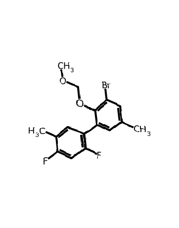 COCOc1c(Br)cc(C)cc1-c1cc(C)c(F)cc1F